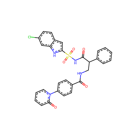 O=C(NCC(C(=O)NS(=O)(=O)c1cc2ccc(Cl)cc2[nH]1)c1ccccc1)c1ccc(-n2ccccc2=O)cc1